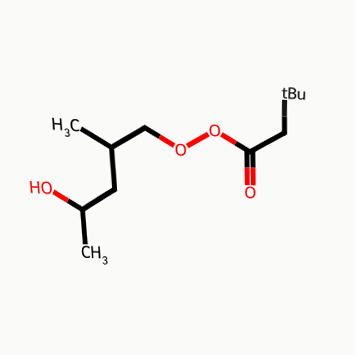 CC(O)CC(C)COOC(=O)CC(C)(C)C